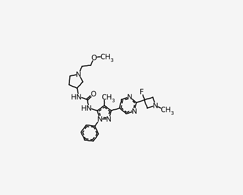 COCCN1CCC(NC(=O)Nc2c(C)c(-c3cnc(C4(F)CN(C)C4)nc3)nn2-c2ccccc2)C1